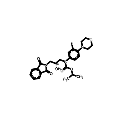 CC(C)OC(=O)N(C[C@H](O)CN1C(=O)c2ccccc2C1=O)c1ccc(N2CCOCC2)c(F)c1